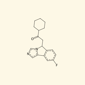 O=C(CC1c2ccc(F)cc2-c2cncn21)C1CCCCC1